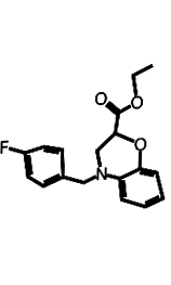 CCOC(=O)C1CN(Cc2ccc(F)cc2)c2ccccc2O1